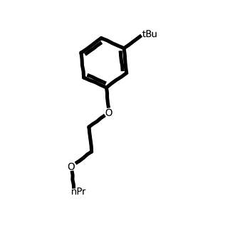 CCCOCCOc1cccc(C(C)(C)C)c1